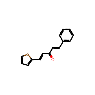 O=C(C=Cc1ccccc1)C=Cc1cccs1